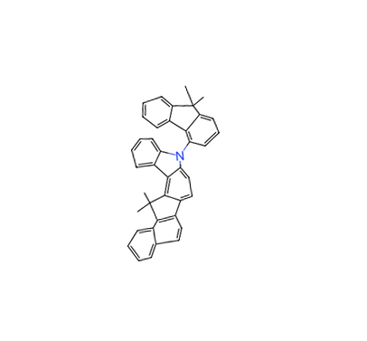 CC1(C)c2ccccc2-c2c(-n3c4ccccc4c4c5c(ccc43)-c3ccc4ccccc4c3C5(C)C)cccc21